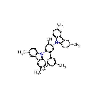 Cc1cc(-c2cc(-n3c4ccc(C(F)(F)F)cc4c4cc(C(F)(F)F)ccc43)c(C#N)cc2-n2c3ccc(C)cc3c3cc(C)ccc32)cc(C(F)(F)F)c1